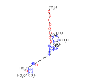 O=C(O)CCOCCOCCOCCOCCOCCOCCOCCOCCNc1nc(Nc2ccc(CC3CN(CC(=O)O)CCN(CC(=O)O)CCN(CC(=O)O)CCN3CC(=O)O)cc2)nc(N2CCN(CCCCCCCCCCC(=O)NCCCC[C@H](NC(=O)NC(CCC(=O)O)C(=O)O)C(=O)O)CC2)n1